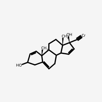 C[C@]12C=CC(O)CC1=CCC1C2CC[C@@]2(C)C1C=C[C@@]2(O)[C]#[Cr]